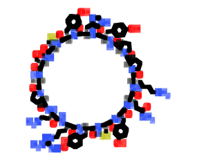 C[C@@H]1NC(=O)[C@H](CO)NC(=O)[C@H](CS)NC(=O)[C@H](Cc2ccc(O)cc2)NC(=O)[C@H](Cc2c[nH]cn2)NC(=O)[C@H](Cc2ccc(O)cc2)NC(=O)[C@@H]2CCCN2C(=O)[C@H]2CCCN2C(=O)[C@H](CCCCN)NC(=O)[C@H](CCC(N)=O)NC(=O)[C@H](Cc2ccc(O)cc2)NC(=O)[C@H](CS)NC(=O)[C@H](Cc2ccc(O)cc2)NC(=O)[C@H](CCCNC(=N)N)NC(=O)[C@H](CCN)NC(=O)[C@H]2CCCN2C1=O